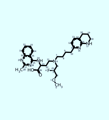 COC[C@@H](F)CN(CCCCc1ccc2c(n1)NCCC2)CCC(Nc1nc(C)nc2ccccc12)C(=O)O